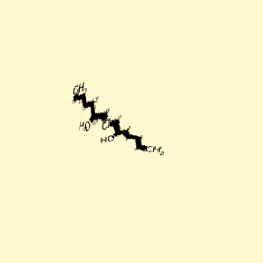 C=CCCCC(O)COCC(O)CCCC=C